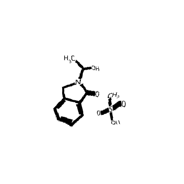 CC(O)N1Cc2ccccc2C1=O.CS(=O)(=O)O